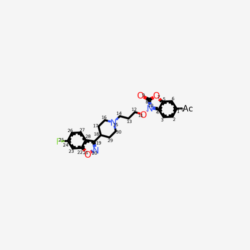 CC(=O)c1ccc2c(c1)oc(=O)n2OCCCN1CCC(c2noc3cc(F)ccc23)CC1